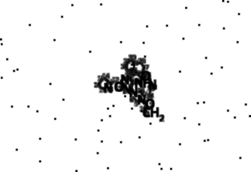 C=CC(=O)N1CCN(c2nc(OCc3ccccn3)nc3c2NC(=O)C2(CCCc4ccccc42)C3)C[C@@H]1CC#N